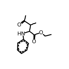 CCOC(=O)C(Nc1ccccc1)C(C)C(C)=O